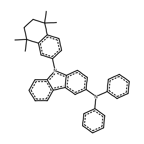 CC1(C)CCC(C)(C)c2cc(-n3c4ccccc4c4cc(N(c5ccccc5)c5ccccc5)ccc43)ccc21